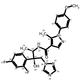 COc1ccc(-n2ncc(C(=O)N[C@H](C)[C@](O)(Cn3cncn3)c3ccc(F)cc3F)c2C)cc1